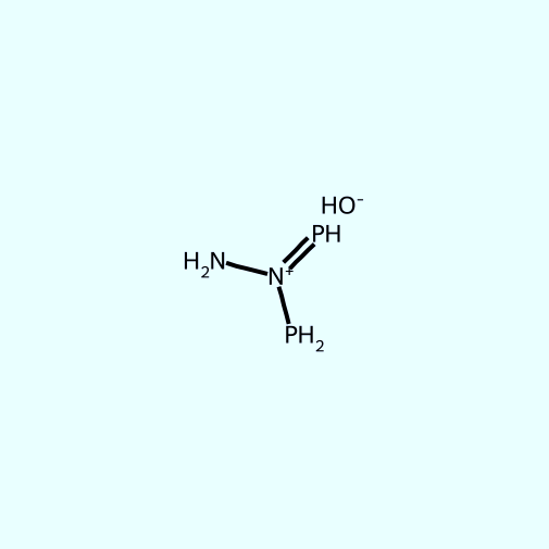 N[N+](=P)P.[OH-]